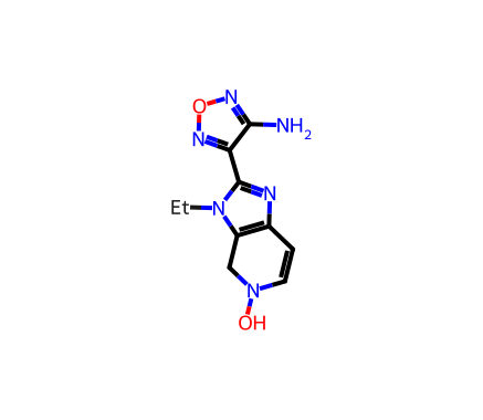 CCn1c(-c2nonc2N)nc2c1CN(O)C=C2